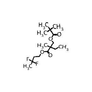 CCC(C)(COC(=O)C(C)(C)C)C(=O)OCCC(C)(F)F